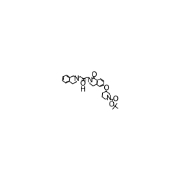 CC(C)(C)OC(=O)N1CCCC(Oc2ccc3c(c2)CCN(C[C@H](O)CN2CCc4ccccc4C2)C3=O)C1